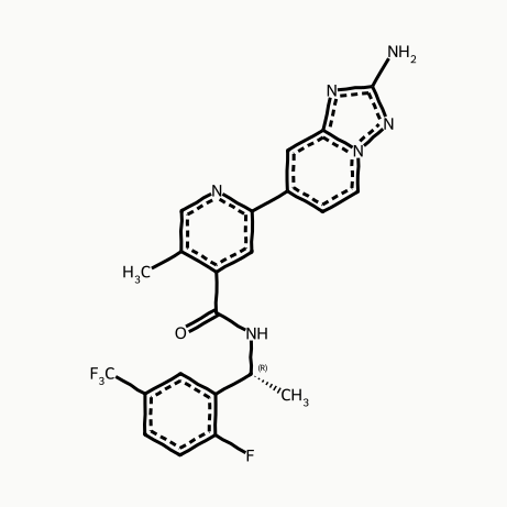 Cc1cnc(-c2ccn3nc(N)nc3c2)cc1C(=O)N[C@H](C)c1cc(C(F)(F)F)ccc1F